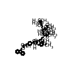 COc1ccc(C[C@H](NC(=O)C2CCC(CNC(=O)OCC3c4ccccc4-c4ccccc43)CC2)C(=O)NCCCC[C@H](NC(=O)N[C@@H](CCC(=O)OC(C)(C)C)C(=O)OC(C)(C)C)C(=O)OC(C)(C)C)cc1OC